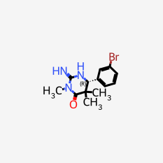 CN1C(=N)N[C@H](c2cccc(Br)c2)C(C)(C)C1=O